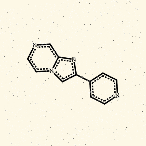 [c]1c(-c2ccncc2)nc2cnccn12